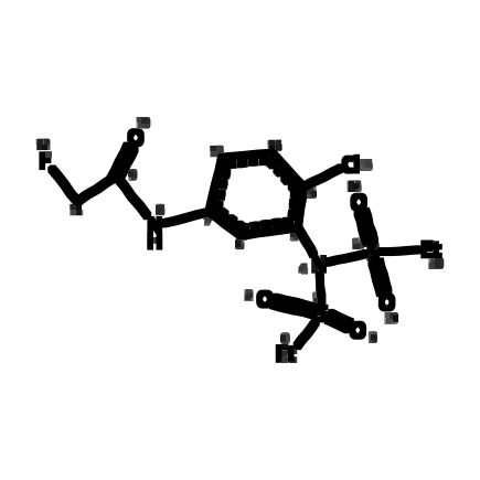 CCS(=O)(=O)N(c1cc(NC(=O)CF)ccc1Cl)S(=O)(=O)CC